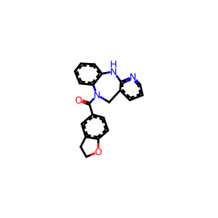 O=C(c1ccc2c(c1)CCO2)N1Cc2cccnc2Nc2ccccc21